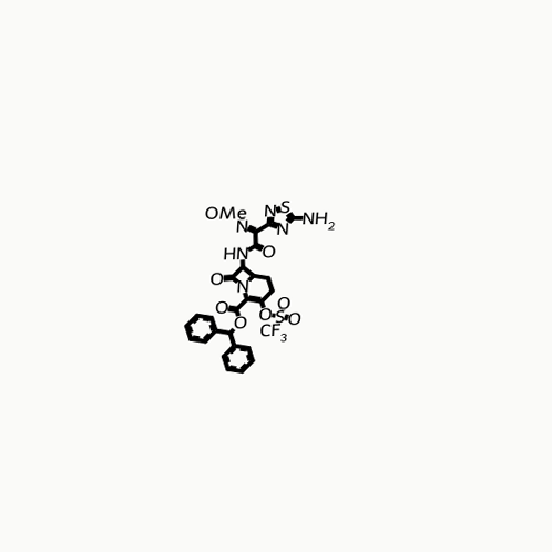 CON=C(C(=O)NC1C(=O)N2C(C(=O)OC(c3ccccc3)c3ccccc3)=C(OS(=O)(=O)C(F)(F)F)CCC12)c1nsc(N)n1